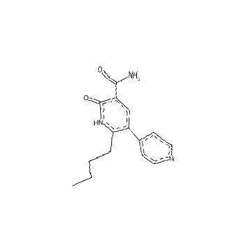 CCCCc1[nH]c(=O)c(C(N)=O)cc1-c1ccncc1